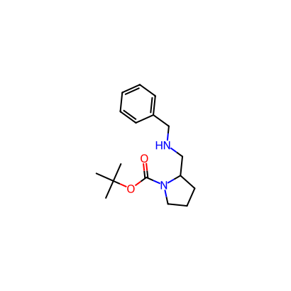 CC(C)(C)OC(=O)N1CCCC1CNCc1ccccc1